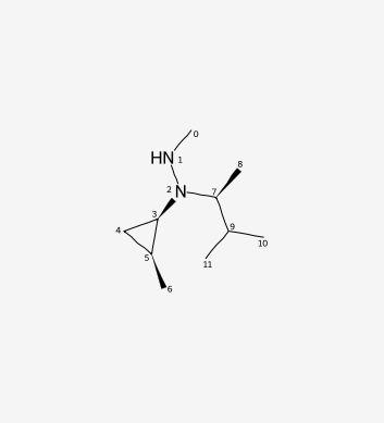 CNN([C@@H]1C[C@@H]1C)[C@@H](C)C(C)C